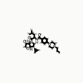 CCCN1CCN(c2ccc(C(=O)NC(CC(C)C)C(=O)N3C[C@H](C4CC4)[C@H]4OCC(=O)[C@H]43)cc2)CC1